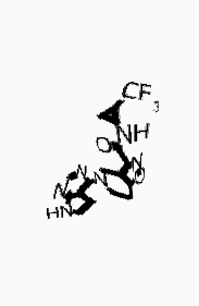 O=C(NC1CC1C(F)(F)F)c1noc2c1CN(c1ncnc3[nH]ccc13)CC2